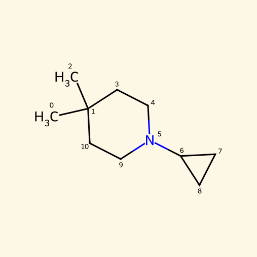 CC1(C)CCN(C2CC2)CC1